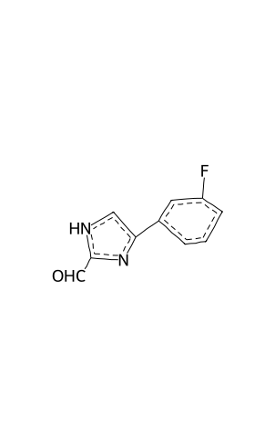 O=Cc1nc(-c2cccc(F)c2)c[nH]1